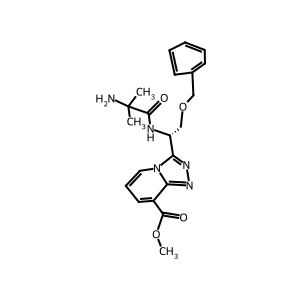 COC(=O)c1cccn2c([C@@H](COCc3ccccc3)NC(=O)C(C)(C)N)nnc12